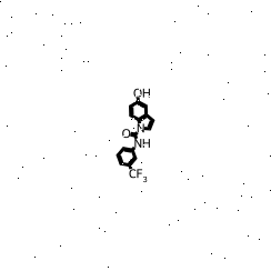 O=C(Nc1cccc(C(F)(F)F)c1)n1ccc2cc(O)ccc21